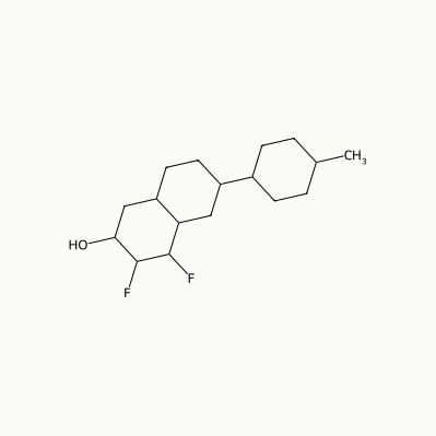 CC1CCC(C2CCC3CC(O)C(F)C(F)C3C2)CC1